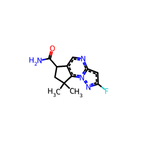 CC1(C)CC(C(N)=O)c2cnc3cc(F)nn3c21